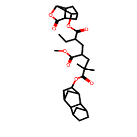 CCC(CC(CC(C)(C)C(=O)OC1CC2CC1C1C3CCC(C3)C21)C(=O)OC)C(=O)OC1C2CC3C(=O)OC1C3C2